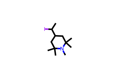 CC(I)C1CC(C)(C)N(C)C(C)(C)C1